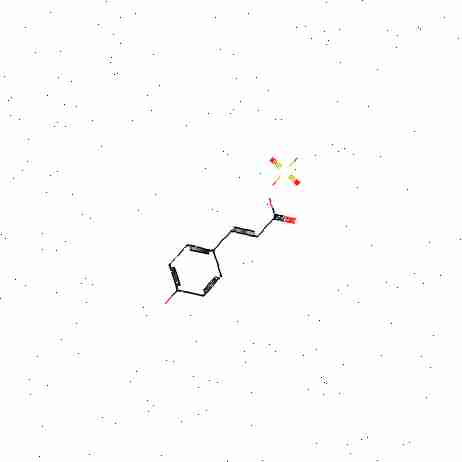 O=C(/C=C/c1ccc(O)cc1)OS(=O)(=O)O